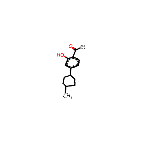 CCC(=O)c1ccc(C2CCC(C)CC2)cc1O